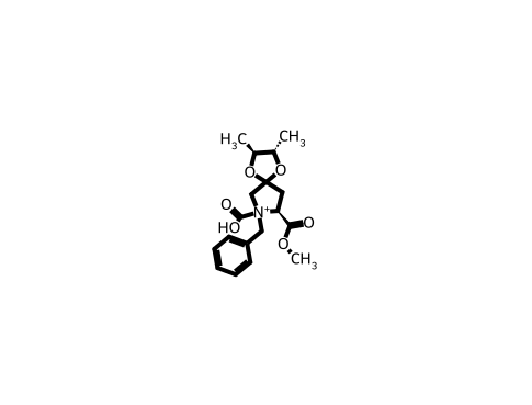 COC(=O)[C@@H]1CC2(C[N+]1(Cc1ccccc1)C(=O)O)O[C@@H](C)[C@H](C)O2